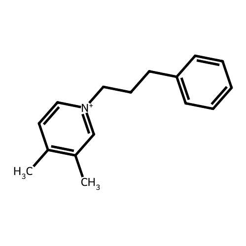 Cc1cc[n+](CCCc2ccccc2)cc1C